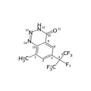 Cc1cc(C(F)(C(F)(F)F)C(F)(F)F)cc2c(=O)[nH]nnc12